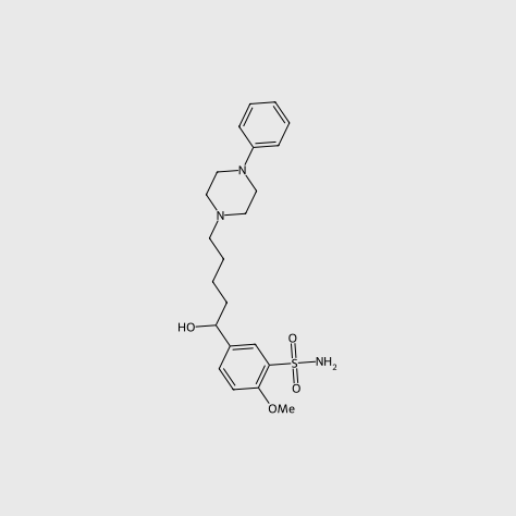 COc1ccc(C(O)CCCCN2CCN(c3ccccc3)CC2)cc1S(N)(=O)=O